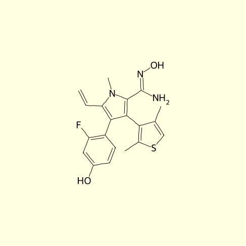 C=Cc1c(-c2ccc(O)cc2F)c(-c2c(C)csc2C)c(/C(N)=N/O)n1C